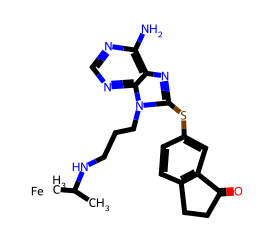 CC(C)NCCCn1c(Sc2ccc3c(c2)C(=O)CC3)nc2c(N)ncnc21.[Fe]